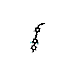 CC#CCc1ccc(C#Cc2cc(F)c(C3CCC(C)CC3)c(F)c2)cc1